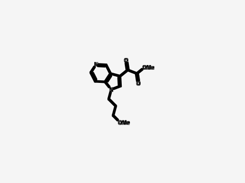 COCCCn1cc(C(=O)C(=O)OC)c2cnccc21